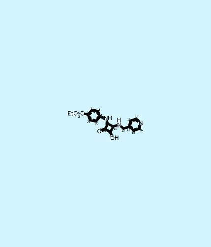 CCOC(=O)c1ccc(NC2C(=O)C(O)C2NCc2ccncc2)cc1